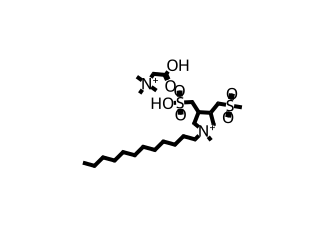 CCCCCCCCCCCC[N+]1(C)CC(CS(C)(=O)=O)C(CS(=O)(=O)O)C1.C[N+](C)(C)CC(=O)O